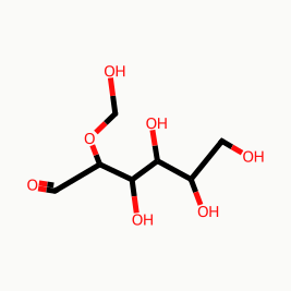 O=CC(OCO)C(O)C(O)C(O)CO